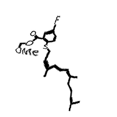 COCOC(=O)c1cc(F)ccc1SCC=C(C)CCC=C(C)CCC=C(C)C